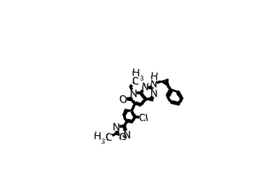 CCn1c(=O)c(-c2ccc(-c3noc(C)n3)cc2Cl)cc2cnc(NC3CC3c3ccccc3)nc21